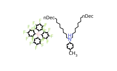 CCCCCCCCCCCCCCCCCC[NH+](CCCCCCCCCCCCCCCCCC)c1ccc(C)cc1.Fc1c(F)c(F)c([B-](c2c(F)c(F)c(F)c(F)c2F)(c2c(F)c(F)c(F)c(F)c2F)c2c(F)c(F)c(F)c(F)c2F)c(F)c1F